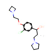 C[C@H](CN1CCCC1)C(O)c1ccc(OCCN2CCC2)c(Cl)c1